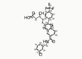 CC(CCc1nc2cc(C(=O)NCc3cccc(Cl)c3)ccc2nc1-c1ccc(C(F)(F)F)cc1)CC(=O)O